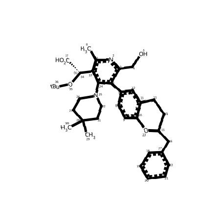 Cc1nc(CO)c(-c2ccc3c(c2)CCC(Cc2ccccc2)O3)c(N2CCC(C)(C)CC2)c1[C@H](OC(C)(C)C)C(=O)O